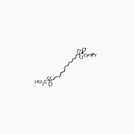 CCCOC(=O)C(Cl)(Cl)CCCCCCCCCCCCC(Cl)(Cl)C(=O)O